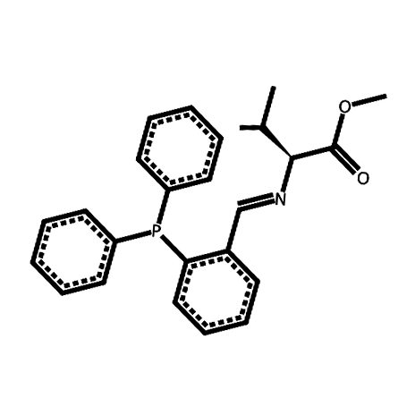 COC(=O)[C@@H](/N=C/c1ccccc1P(c1ccccc1)c1ccccc1)C(C)C